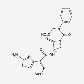 CON=C(C(=O)N[C@H]1CN(C(=O)N(CC(=O)O)c2ccccc2)C1=O)c1csc(N)n1